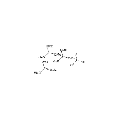 COP(OC)OC.COP(OC)OC.COP(OC)OC.[Cl][Ir]([Cl])[Cl]